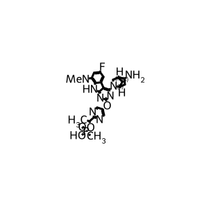 CNc1cc(F)cc2c1[nH]c1nc(Oc3cnc(C(C)OP(C)(=O)O)nc3)nc(N3C[C@H]4C[C@@H]3C[C@H]4N)c12